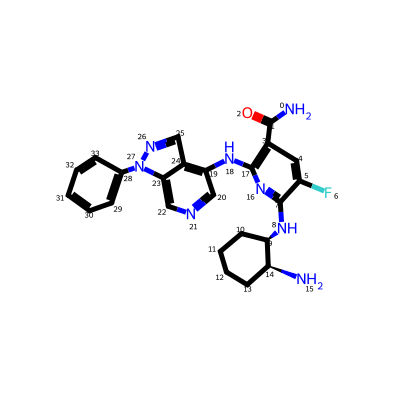 NC(=O)c1cc(F)c(N[C@@H]2CCCC[C@@H]2N)nc1Nc1cncc2c1cnn2-c1ccccc1